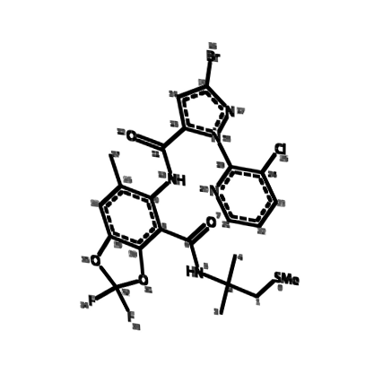 CSCC(C)(C)NC(=O)c1c(NC(=O)c2cc(Br)nn2-c2ncccc2Cl)c(C)cc2c1OC(F)(F)O2